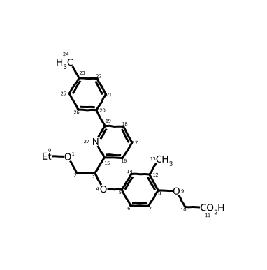 CCOCC(Oc1ccc(OCC(=O)O)c(C)c1)c1cccc(-c2ccc(C)cc2)n1